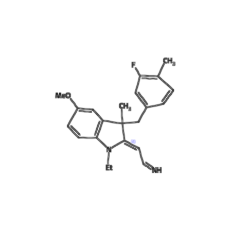 CCN1/C(=C\C=N)C(C)(Cc2ccc(C)c(F)c2)c2cc(OC)ccc21